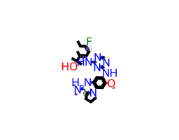 CC/C(F)=C\C(Nc1ncnc(Nc2cc(N)c(N3CCC[C@@H]3CN(C)C)cc2OC)n1)=C(/C)C(C)(C)O